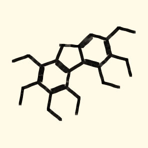 CCc1cc2c(c(CC)c1CC)-c1c(c(CC)c(CC)c(CC)c1CC)[CH]2